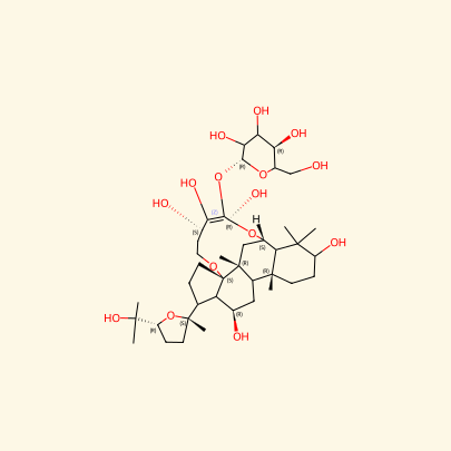 CC1(C)C(O)CC[C@@]2(C)C1[C@@H]1C[C@]3(C)C2C[C@@H](O)C2C([C@]4(C)CC[C@H](C(C)(C)O)O4)CC[C@]23OCC[C@H](O)/C(O)=C(/O[C@H]2OC(CO)[C@H](O)C(O)C2O)[C@H](O)O1